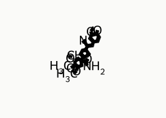 COC1=CC(C(N)=O)(c2ccc(C(C#N)=Cc3ccc4c(c3)OCO4)cc2)CC(OC)=C1OC